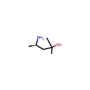 C[C@@H](N)CC(C)(C)O